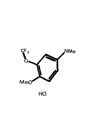 CNc1ccc(OC)c(OC(F)(F)F)c1.Cl